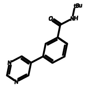 CC(C)(C)NC(=O)c1cccc(-c2cncnc2)c1